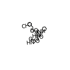 O=C[C@H](C[C@@H]1CCNC1=O)NC(=O)[C@H](CC1CCCCC1)NC(=O)O[C@@H]1CCC[C@H]1Cc1cccc(Cl)c1